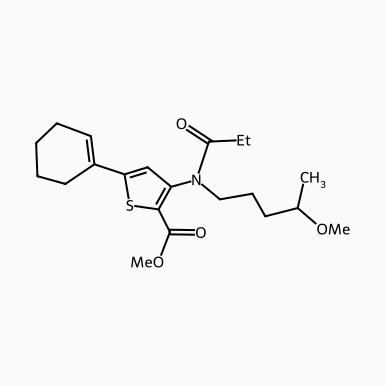 CCC(=O)N(CCCC(C)OC)c1cc(C2=CCCCC2)sc1C(=O)OC